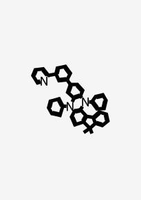 CC1(C)c2ccccc2-c2c1ccc1c2N(c2ccccc2)c2ccc(-c3cccc(-c4ccccn4)c3)cc2N1c1ccccc1